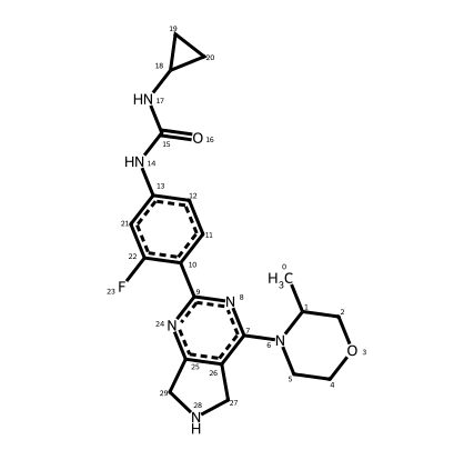 CC1COCCN1c1nc(-c2ccc(NC(=O)NC3CC3)cc2F)nc2c1CNC2